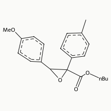 CCCCOC(=O)C1(c2ccc(C)cc2)OC1c1ccc(OC)cc1